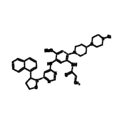 C=CC(=O)Nc1cc(Nc2cc(N3OCCC3c3cccc4ccccc34)ncn2)c(OC)cc1N1CCC(N2CCN(CC)CC2)CC1